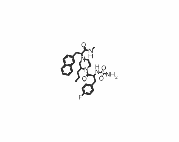 CCCC1CN(C(Cc2ccc3ccccc3c2)C(=O)NC)CCN1C(=O)C(Cc1ccc(F)cc1)NS(N)(=O)=O